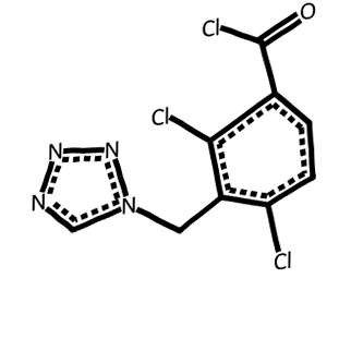 O=C(Cl)c1ccc(Cl)c(Cn2cnnn2)c1Cl